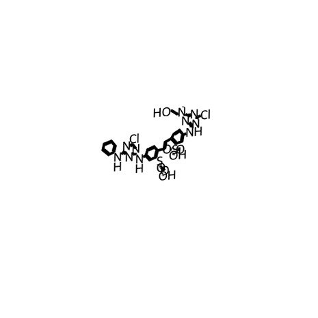 CN(CCO)c1nc(Cl)nc(Nc2ccc(/C=C/c3ccc(Nc4nc(Cl)nc(Nc5ccccc5)n4)cc3SOOO)c(S(=O)(=O)O)c2)n1